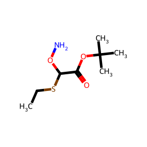 CCSC(ON)C(=O)OC(C)(C)C